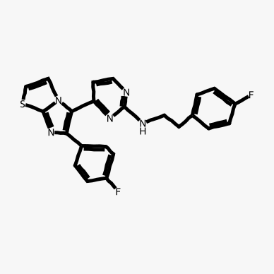 Fc1ccc(CCNc2nccc(-c3c(-c4ccc(F)cc4)nc4sccn34)n2)cc1